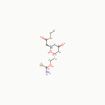 CCSC(=O)C[C@H]1CC(=O)C[C@H](CCOB(P)S)O1